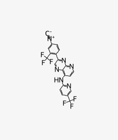 [C-]#[N+]c1ccc(-c2cnc3c(Nc4ccc(C(F)(F)F)cn4)ccnc3n2)c(C(F)(F)F)c1